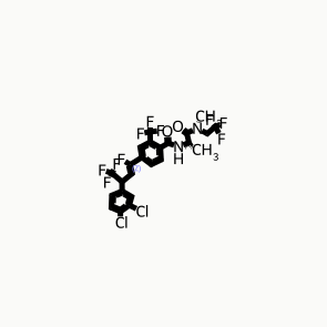 C[C@@H](NC(=O)c1ccc(/C(F)=C/C(c2ccc(Cl)c(Cl)c2)C(F)(F)F)cc1C(F)(F)F)C(=O)N(C)CC(F)(F)F